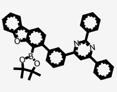 CC1(C)OB(c2c(-c3cccc(-c4cc(-c5ccccc5)nc(-c5ccccc5)n4)c3)ccc3c2oc2ccccc23)OC1(C)C